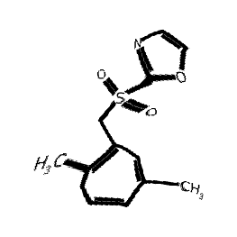 Cc1ccc(C)c(CS(=O)(=O)c2ncco2)c1